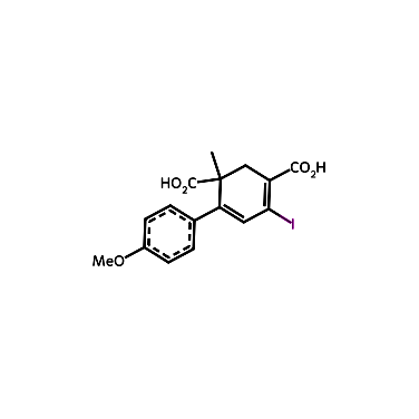 COc1ccc(C2=CC(I)=C(C(=O)O)CC2(C)C(=O)O)cc1